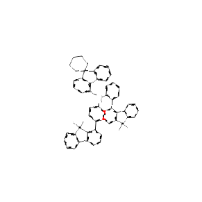 CC1(C)c2ccccc2-c2c(-c3ccccc3N(c3ccc(-c4cccc5c4C(C)(C)c4ccccc4-5)cc3)c3cccc4c3-c3ccccc3C43CCCCC3)cccc21